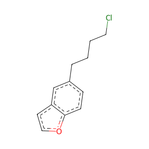 ClCCCCc1ccc2occc2c1